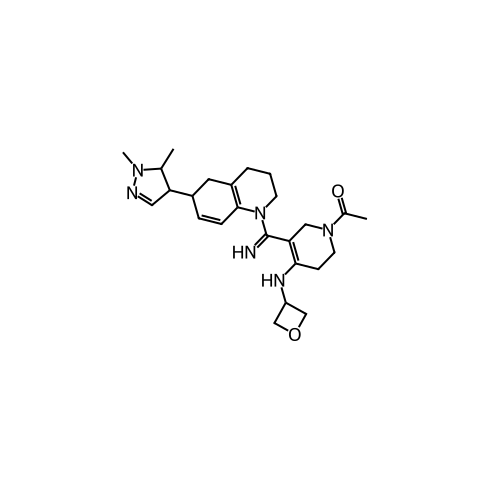 CC(=O)N1CCC(NC2COC2)=C(C(=N)N2CCCC3=C2C=CC(C2C=NN(C)C2C)C3)C1